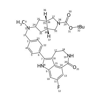 CN(Cc1ccc(-c2[nH]c3cc(F)cc4c3c2CCNC4=O)cc1)C1C[C@@H]2CN(C(=O)OC(C)(C)C)C[C@@H]2C1